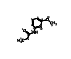 CCC(=O)Nc1cccc(OC)n1